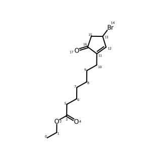 CCOC(=O)CCCCCCC1=CC(Br)CC1=O